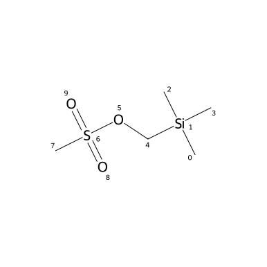 C[Si](C)(C)COS(C)(=O)=O